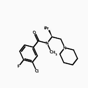 CC(C)[C@@H](CN1CCCCC1)N(C)C(=O)c1ccc(F)c(Cl)c1